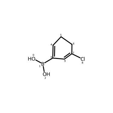 OB(O)C1=CCCC(Cl)=C1